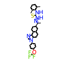 C/C(=N\NC(=S)Nc1c(C)cccc1C)c1ccc2c(ccc3c2ncn3-c2ccc(OC(F)(F)F)cc2)c1